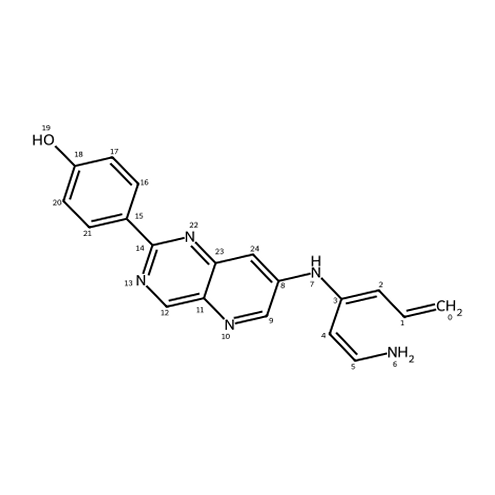 C=C/C=C(\C=C/N)Nc1cnc2cnc(-c3ccc(O)cc3)nc2c1